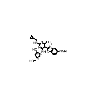 CNc1ccc2oc(-c3c(C)nc(NCC4CC4)nc3N[C@@H]3C[C@H](CO)C[C@H]3O)nc2c1